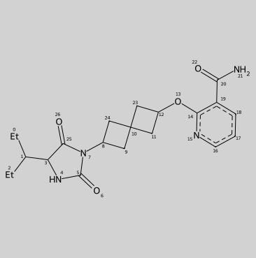 CCC(CC)C1NC(=O)N(C2CC3(CC(Oc4ncccc4C(N)=O)C3)C2)C1=O